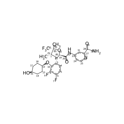 C[C@H]1[C@@H](c2ccc(F)c(F)c2O[C@H]2CC[C@@H](O)CC2)[C@H](C(=O)Nc2ccnc(C(N)=O)c2)O[C@@]1(C)C(F)(F)F